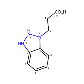 O=C(O)CCN1NNc2ccccc21